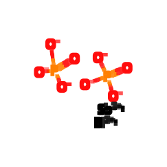 O=P([O-])([O-])[O-].O=P([O-])([O-])[O-].[Bi+3].[Sb+3]